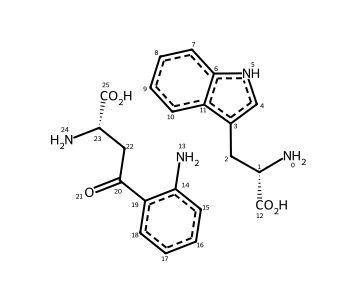 N[C@@H](Cc1c[nH]c2ccccc12)C(=O)O.Nc1ccccc1C(=O)C[C@H](N)C(=O)O